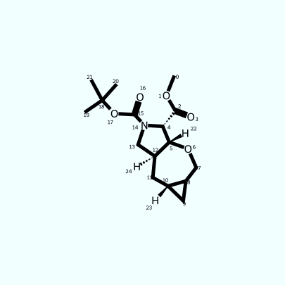 COC(=O)[C@@H]1[C@@H]2OCC3C[C@@H]3C[C@H]2CN1C(=O)OC(C)(C)C